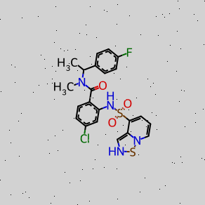 CC(c1ccc(F)cc1)N(C)C(=O)c1ccc(Cl)cc1NS(=O)(=O)C1=CC=CN2SNC=C12